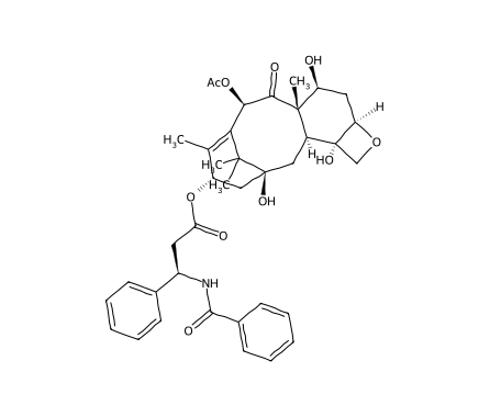 CC(=O)O[C@H]1C(=O)[C@@]2(C)[C@H](C[C@]3(O)C[C@H](OC(=O)C[C@@H](NC(=O)c4ccccc4)c4ccccc4)C(C)=C1C3(C)C)[C@]1(O)CO[C@@H]1C[C@@H]2O